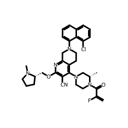 C=C(F)C(=O)N1CCN(c2c(C#N)c(OC[C@@H]3CCCN3C)nc3c2CCN(c2cccc4cccc(Cl)c24)C3)C[C@@H]1C